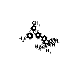 CCC1(CC)c2ccc(-c3ccc(N(c4ccc(C)cc4)c4ccc(C)cc4)cc3)cc2C(CC)(CC)C1(C)C